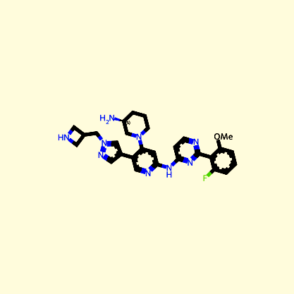 COc1cccc(F)c1-c1nccc(Nc2cc(N3CCC[C@H](N)C3)c(-c3cnn(CC4CNC4)c3)cn2)n1